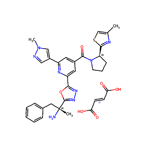 Cc1csc([C@H]2CCCN2C(=O)c2cc(-c3cnn(C)c3)nc(-c3nnc([C@](C)(N)Cc4ccccc4)o3)c2)n1.O=C(O)/C=C/C(=O)O